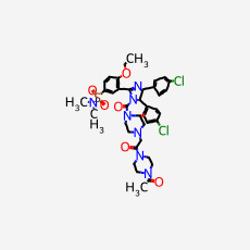 CCOc1ccc(S(=O)(=O)N(C)C)cc1C1=NC(c2ccc(Cl)cc2)C(c2ccc(Cl)cc2)N1C(=O)N1CCN(CC(=O)N2CCN(C(C)=O)CC2)CC1